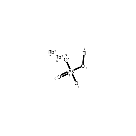 O=[As]([O-])([O-])[O][Ti].[Rb+].[Rb+]